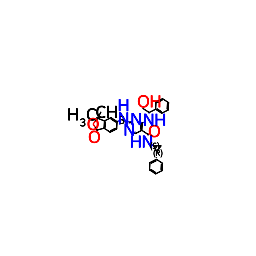 CC1(C)OC(=O)c2ccc(Nc3ncc(C(=O)N[C@H]4C[C@@H]4c4ccccc4)c(NC(CO)c4ccccc4)n3)cc21